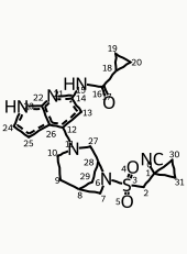 N#CC1(CS(=O)(=O)N2CC3CCN(c4cc(NC(=O)C5CC5)nc5[nH]ccc45)CC2C3)CC1